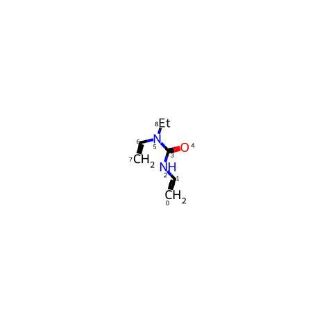 C=CNC(=O)N(C=C)CC